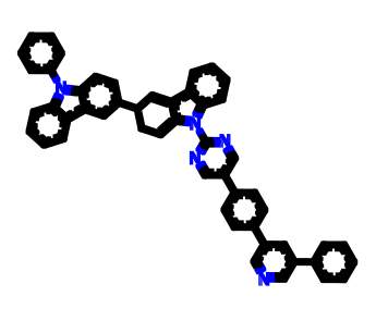 C1=c2c(n(-c3ncc(-c4ccc(-c5cncc(-c6ccccc6)c5)cc4)cn3)c3ccccc23)=CCC1c1ccc2c(c1)c1ccccc1n2-c1ccccc1